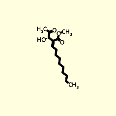 CCCCCCCCC/C=C(\C(=O)OC)[C@H](O)C(C)=O